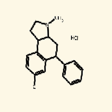 CN1CCC2c3ccc(Cl)cc3C(c3ccccc3)CC21.Cl